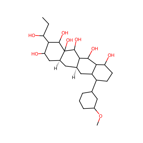 CCC(O)C1C(O)C[C@@H]2C[C@@H]3CC4C(C5CCCC(OC)C5)CCC(O)C4C(O)C3C(O)C2(O)C1O